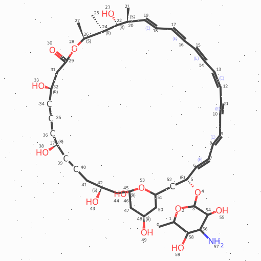 CC1OC(O[C@H]2/C=C/C=C/C=C/C=C/C=C/C=C/C=C/[C@H](C)[C@@H](O)[C@@H](C)[C@H](C)OC(=O)C[C@H](O)CCC[C@H](O)CCC[C@H](O)C[C@]3(O)C[C@H](O)CC(C2)O3)C(O)C(N)C1O